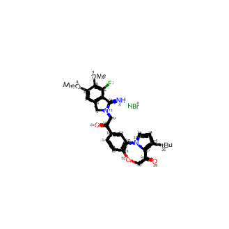 Br.COc1cc2c(c(F)c1OC)C(=N)N(CC(=O)c1ccc3c(c1)-n1ccc(C(C)(C)C)c1C(=O)CO3)C2